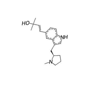 CN1CCC[C@@H]1Cc1c[nH]c2ccc(C=CC(C)(C)O)cc12